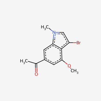 COc1cc(C(C)=O)cc2c1c(Br)cn2C